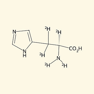 [2H]N([2H])[C@]([2H])(C(=O)O)C([2H])([2H])c1cnc[nH]1